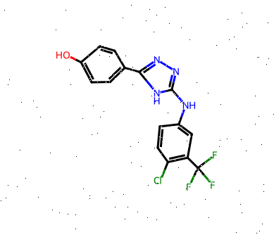 Oc1ccc(-c2nnc(Nc3ccc(Cl)c(C(F)(F)F)c3)[nH]2)cc1